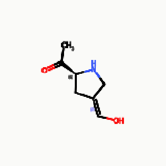 CC(=O)[C@@H]1C/C(=C/O)CN1